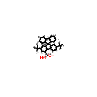 CC(C)(C)c1ccc2c(c1)C1(c3ccccc3-c3ccccc31)c1cc(C(C)(C)C)cc(B(O)O)c1-2